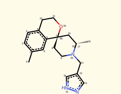 Cc1ccc2c(c1)[C@]1(CCN(Cc3cn[nH]c3)[C@@H](C)C1)OCC2